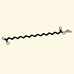 CC(C)(C)OC(=O)CCCCCCCCCCCCCCCCCCC(=O)Cl